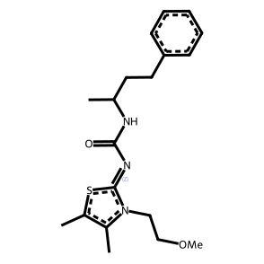 COCCn1c(C)c(C)s/c1=N\C(=O)NC(C)CCc1ccccc1